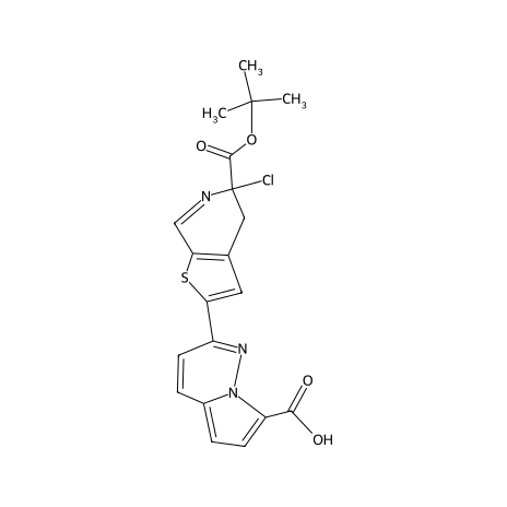 CC(C)(C)OC(=O)C1(Cl)Cc2cc(-c3ccc4ccc(C(=O)O)n4n3)sc2C=N1